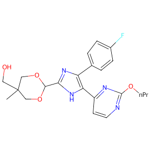 CCCOc1nccc(-c2[nH]c(C3OCC(C)(CO)CO3)nc2-c2ccc(F)cc2)n1